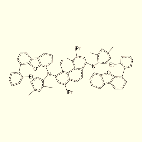 C=Cc1c(N(c2ccc(C)cc2C)c2cccc3c2oc2c(-c4ccccc4CC)cccc23)cc(C(C)C)c2ccc3c(N(c4ccc(C)cc4C)c4cccc5c4oc4c(-c6ccccc6CC)cccc45)cc(C(C)C)c(C)c3c12